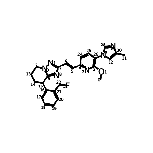 COc1nc(C=Cc2nc3n(n2)CCCC3c2ccccc2CF)ccc1-n1cnc(C)c1